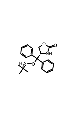 CC(C)(C)[SiH2]OC(c1ccccc1)(c1ccccc1)[C@H]1COC(=O)N1